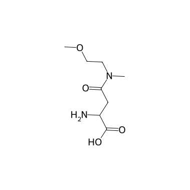 COCCN(C)C(=O)CC(N)C(=O)O